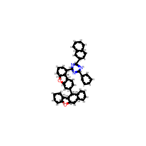 c1ccc(-c2nc(-c3ccc4ccccc4c3)nc(-c3cccc4oc5cc(-c6c7ccccc7cc7oc8ccccc8c67)ccc5c34)n2)cc1